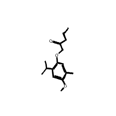 CCCC(=O)COc1cc(C)c(OC)cc1C(C)C